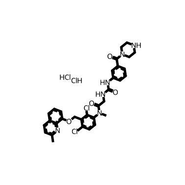 Cc1ccc2cccc(OCc3c(Cl)ccc(N(C)C(=O)CNC(=O)Nc4cccc(C(=O)N5CCNCC5)c4)c3Cl)c2n1.Cl.Cl